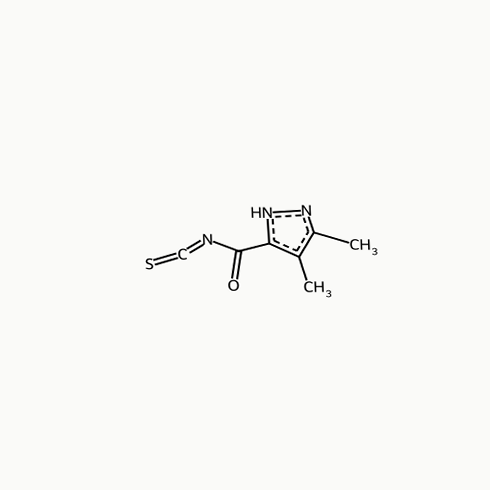 Cc1n[nH]c(C(=O)N=C=S)c1C